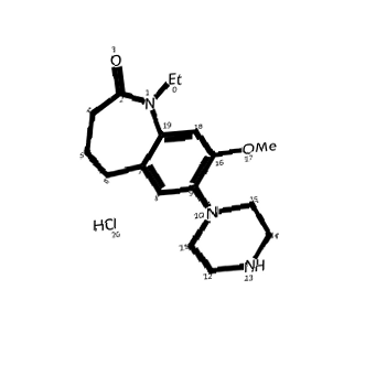 CCN1C(=O)CCCc2cc(N3CCNCC3)c(OC)cc21.Cl